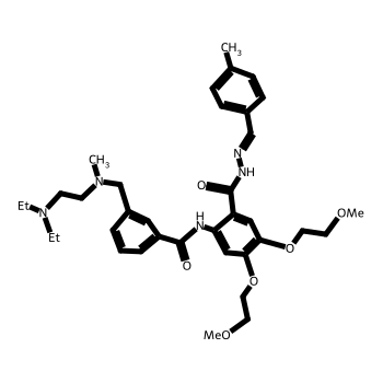 CCN(CC)CCN(C)Cc1cccc(C(=O)Nc2cc(OCCOC)c(OCCOC)cc2C(=O)N/N=C/c2ccc(C)cc2)c1